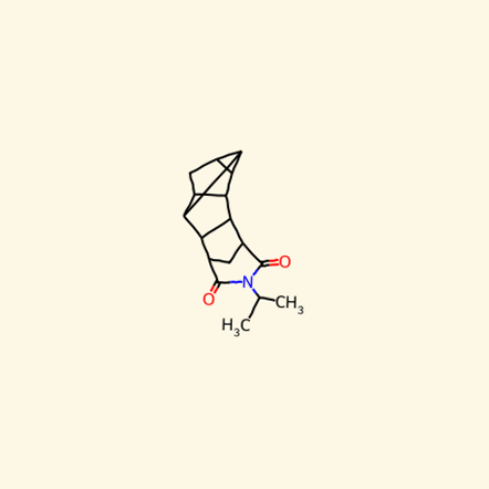 CC(C)N1C(=O)C2CC(C1=O)C1C2C2C3CC4C2C4C31